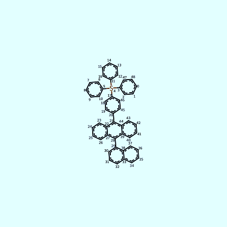 c1ccc(S(c2ccccc2)(c2ccccc2)c2ccc(-c3c4ccccc4c(-c4cccc5ccccc45)c4ccccc34)cc2)cc1